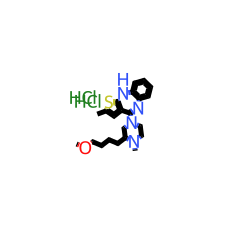 COCCCCC1CN(C2=Nc3ccccc3Nc3sc(C)cc32)CCN1C.Cl.Cl